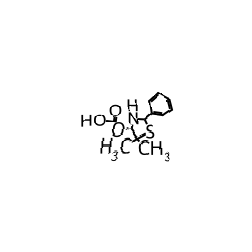 CC1(C)SC(c2ccccc2)N[C@H]1OC(=O)O